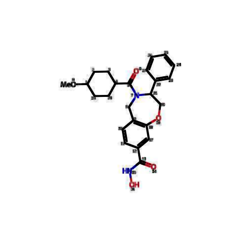 COC1CCC(C(=O)N2Cc3ccc(C(=O)NO)cc3OCC2c2ccccc2)CC1